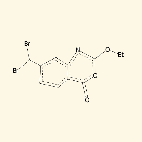 CCOc1nc2cc(C(Br)Br)ccc2c(=O)o1